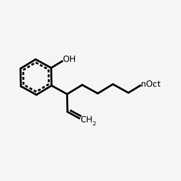 C=CC(CCCCCCCCCCCC)c1ccccc1O